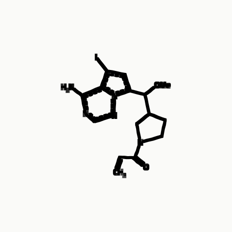 C=CC(=O)N1CCC(C(OC)c2cc(I)c3c(N)ncnn23)C1